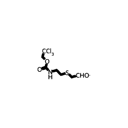 O=[C]CSCCNC(=O)OCC(Cl)(Cl)Cl